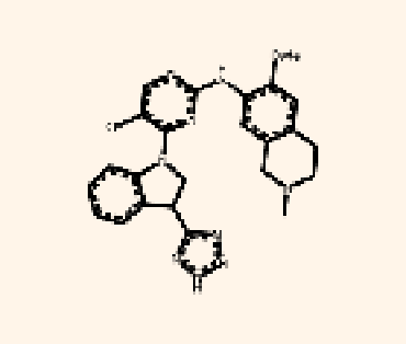 COc1cc2c(cc1Nc1ncc(Cl)c(N3CC(c4nn[nH]n4)c4ccccc43)n1)CN(C)CC2